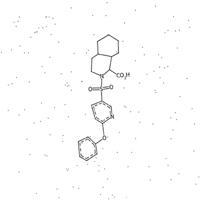 O=C(O)C1C2CCCCC2CCN1S(=O)(=O)c1ccc(Oc2ccccc2)nc1